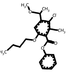 CCCCOc1cc(C(C)OC)c(Cl)c(C)c1C(=O)Oc1ccccc1